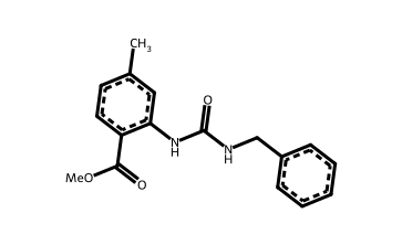 COC(=O)c1ccc(C)cc1NC(=O)NCc1ccccc1